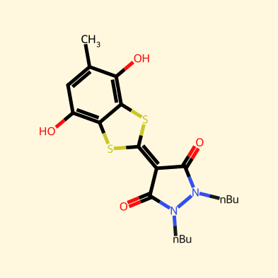 CCCCN1C(=O)C(=C2Sc3c(O)cc(C)c(O)c3S2)C(=O)N1CCCC